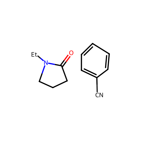 CCN1CCCC1=O.N#Cc1ccccc1